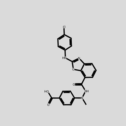 CN(NC(=O)c1cccc2nc(Nc3ccc(Cl)cc3)oc12)c1ccc(C(=O)O)cc1